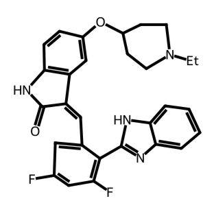 CCN1CCC(Oc2ccc3c(c2)/C(=C/c2cc(F)cc(F)c2-c2nc4ccccc4[nH]2)C(=O)N3)CC1